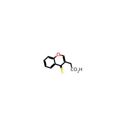 O=C(O)Cc1coc2ccccc2c1=S